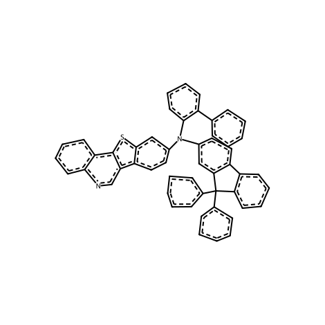 c1ccc(-c2ccccc2N(c2ccc3c(c2)C(c2ccccc2)(c2ccccc2)c2ccccc2-3)c2ccc3c(c2)sc2c4ccccc4ncc32)cc1